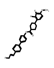 COc1ccc(C2CCC(C(=O)Oc3ccc(-c4ccc(/C=C/CF)cc4)cc3)CC2)c(F)c1F